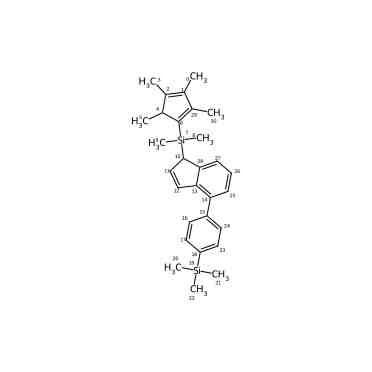 CC1=C(C)C(C)C([Si](C)(C)C2C=Cc3c(-c4ccc([Si](C)(C)C)cc4)cccc32)=C1C